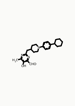 Cc1nc(CC2CCN(c3ccc(C4CCCCC4)cc3)CC2)nc([C]=O)c1O